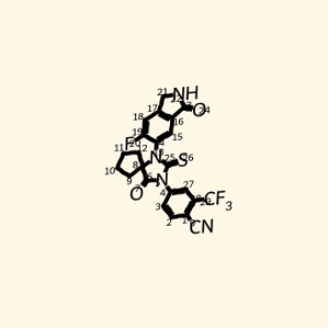 N#Cc1ccc(N2C(=O)C3(CCCC3)N(c3cc4c(cc3F)CNC4=O)C2=S)cc1C(F)(F)F